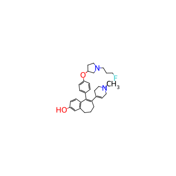 CN1CC=C(C2=C(c3ccc(O[C@H]4CCN(CCCF)C4)cc3)c3ccc(O)cc3CCC2)CC1